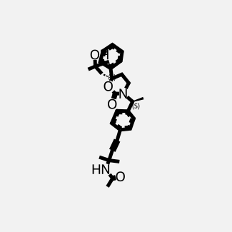 CC(=O)NC(C)(C)C#Cc1ccc([C@H](C)N2CC[C@](CC(C)(C)O)(c3ccccc3)OC2=O)cc1